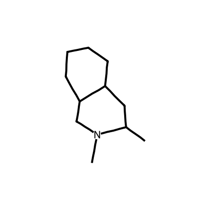 CC1CC2CCCCC2CN1C